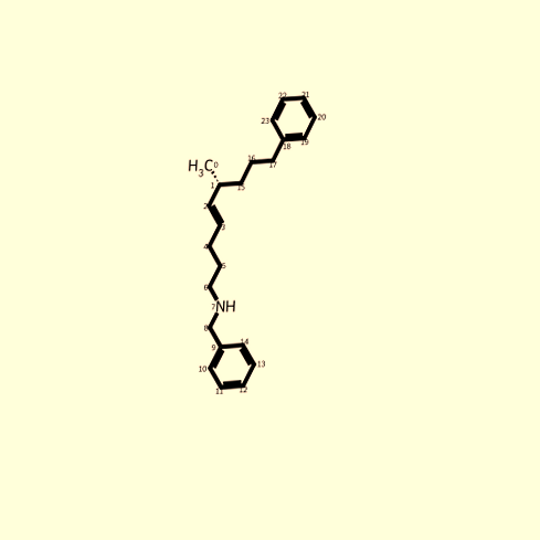 C[C@@H](/C=C/CCCNCc1ccccc1)CCCc1ccccc1